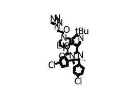 CCOc1cc(C(C)(C)C)ncc1C1=N[C@@](C)(c2ccc(Cl)cc2)C(C)(c2ccc(Cl)cc2)N1C(=O)N1CCN(C(=O)Cn2cnnn2)CC1